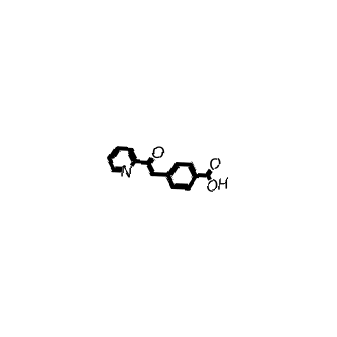 O=C(O)c1ccc(CC(=O)c2ccccn2)cc1